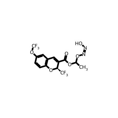 CC(O/N=N\O)OC(=O)C1=Cc2cc(OC(F)(F)F)ccc2O[C@@H]1C(F)(F)F